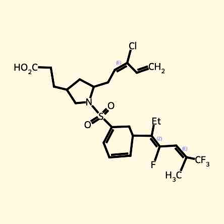 C=C/C(Cl)=C\CC1CC(CCC(=O)O)CN1S(=O)(=O)C1=CC=CC(/C(CC)=C(F)/C=C(\C)C(F)(F)F)C1